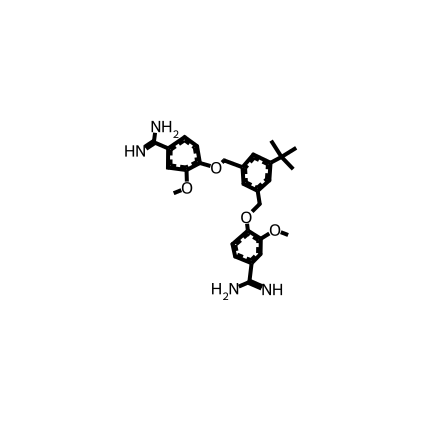 COc1cc(C(=N)N)ccc1OCc1cc(COc2ccc(C(=N)N)cc2OC)cc(C(C)(C)C)c1